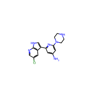 Nc1cc(-c2c[nH]c3ncc(Cl)cc23)nc(N2CCNCC2)c1